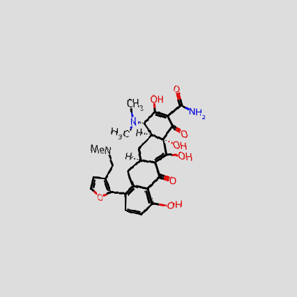 CNCc1ccoc1-c1ccc(O)c2c1C[C@H]1C[C@H]3[C@H](N(C)C)C(O)=C(C(N)=O)C(=O)[C@@]3(O)C(O)=C1C2=O